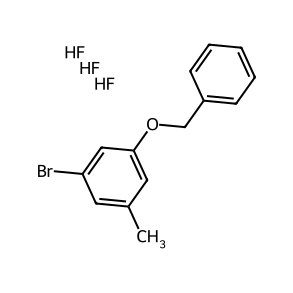 Cc1cc(Br)cc(OCc2ccccc2)c1.F.F.F